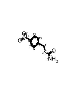 NC(=O)SCc1ccc([N+](=O)[O-])cc1